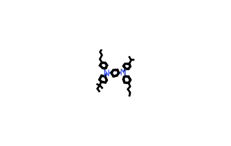 CCCCc1ccc(N(c2ccc(C(C)C)cc2)c2ccc(N(c3ccc(CCCC)cc3)c3ccc(C(C)(C)CC)cc3)cc2)cc1